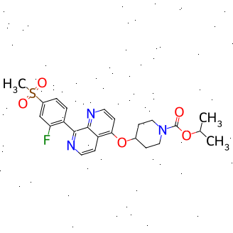 CC(C)OC(=O)N1CCC(Oc2ccnc3c(-c4ccc(S(C)(=O)=O)cc4F)nccc23)CC1